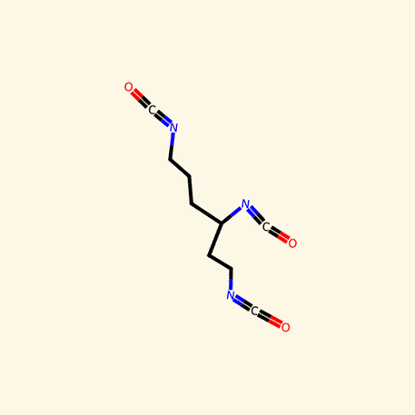 O=C=NCCCC(CCN=C=O)N=C=O